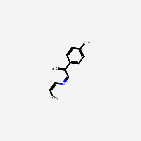 C=C(/C=N\C=C/C)c1ccc(C)cc1